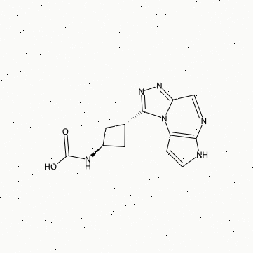 O=C(O)N[C@H]1C[C@H](c2nnc3cnc4[nH]ccc4n32)C1